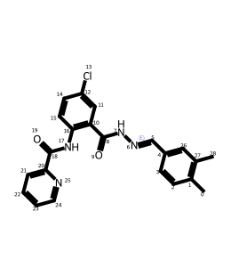 Cc1ccc(/C=N/NC(=O)c2cc(Cl)ccc2NC(=O)c2ccccn2)cc1C